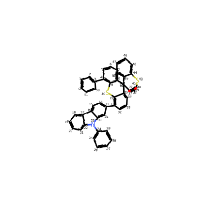 c1ccc(-c2cccc3c2Sc2c(-c4ccc5c6ccccc6n(-c6ccccc6)c5c4)cccc2C32c3ccccc3Sc3ccccc32)cc1